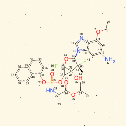 CCOc1cc(N)cc2c1ncn2[C@@H]1O[C@]2(F)C(OP(=O)(NC(C)C(=O)OC(C)C)Oc3cccc4ccccc34)[C@]2(O)[C@@]1(C)F